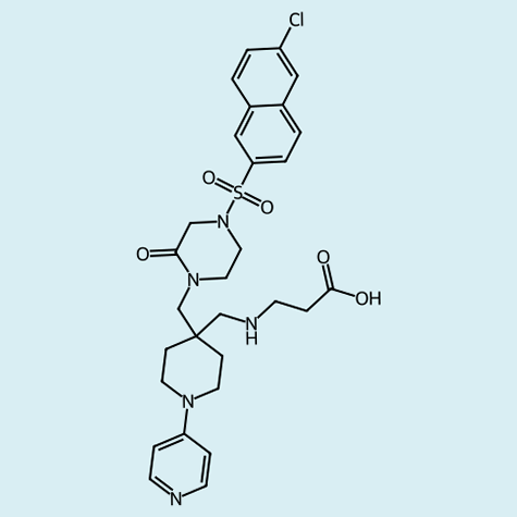 O=C(O)CCNCC1(CN2CCN(S(=O)(=O)c3ccc4cc(Cl)ccc4c3)CC2=O)CCN(c2ccncc2)CC1